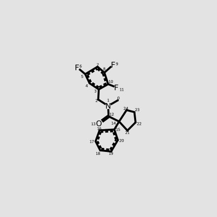 CN(Cc1cc(F)cc(F)c1F)C(=O)C1(c2ccccc2)CCCC1